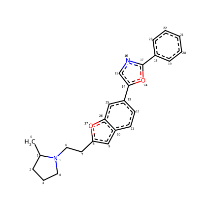 CC1CCCN1CCc1cc2ccc(-c3cnc(-c4ccccc4)o3)cc2o1